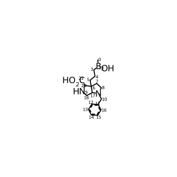 CB(O)CCCC12CCN(Cc3ccccc3)C1CNC2C(=O)O